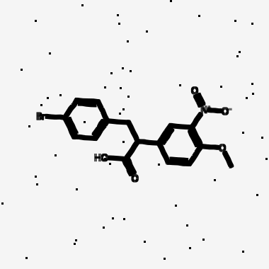 COc1ccc(C(Cc2ccc(Br)cc2)C(=O)O)cc1[N+](=O)[O-]